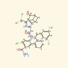 NC(=O)c1cc(-c2cccnc2[C@H](Cc2cc(F)cc(F)c2)NC(=O)Cn2nc(C(F)F)c3c2C2CC(C2)C3=O)ccc1F